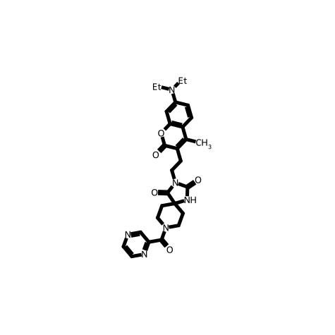 CCN(CC)c1ccc2c(C)c(CCN3C(=O)NC4(CCN(C(=O)c5cnccn5)CC4)C3=O)c(=O)oc2c1